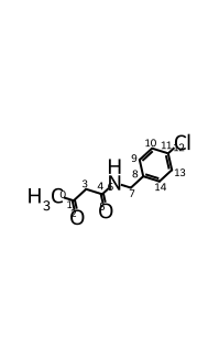 CC(=O)CC(=O)NCc1ccc(Cl)cc1